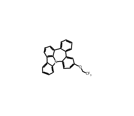 FC(F)(F)COc1ccc2c(c1)-c1ccccc1-c1cccc3c4ccccc4n-2c13